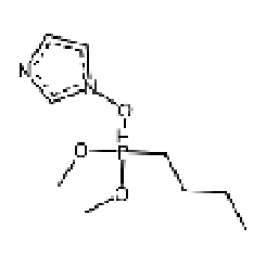 CCCC[PH](OC)(OC)On1ccnc1